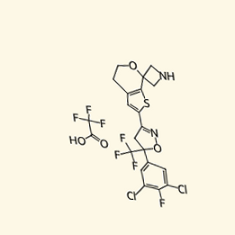 Fc1c(Cl)cc(C2(C(F)(F)F)CC(c3cc4c(s3)C3(CNC3)OCC4)=NO2)cc1Cl.O=C(O)C(F)(F)F